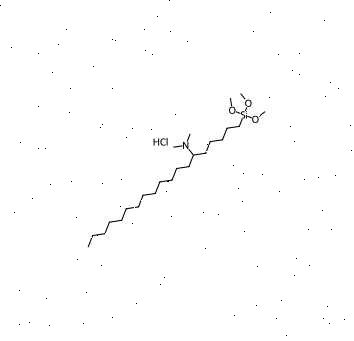 CCCCCCCCCCCCCC(CCCCC[Si](OC)(OC)OC)N(C)C.Cl